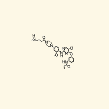 C=CC(=O)Nc1cccc(Oc2nc(Nc3ccc(N4CCN(C(=O)CCC[SiH](C)C)CC4)cc3OC)ncc2Cl)c1